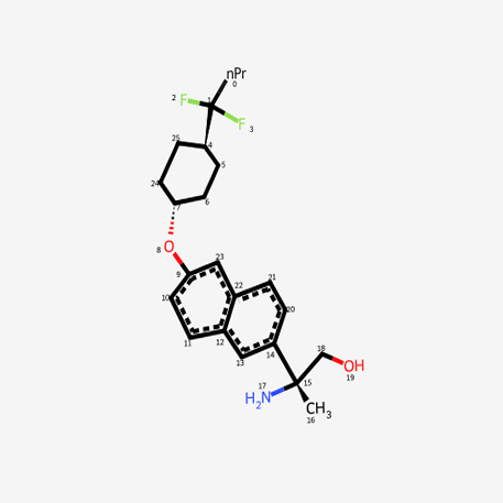 CCCC(F)(F)[C@H]1CC[C@H](Oc2ccc3cc([C@@](C)(N)CO)ccc3c2)CC1